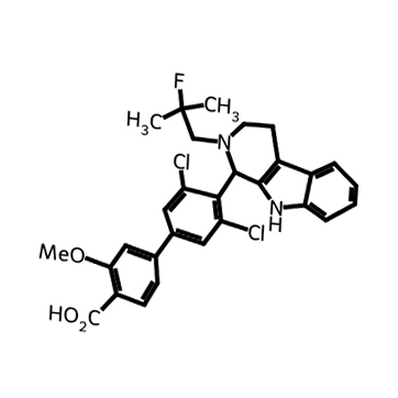 COc1cc(-c2cc(Cl)c(C3c4[nH]c5ccccc5c4CCN3CC(C)(C)F)c(Cl)c2)ccc1C(=O)O